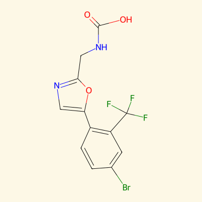 O=C(O)NCc1ncc(-c2ccc(Br)cc2C(F)(F)F)o1